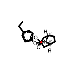 CCc1ccc(OC2C[C@H]3CC[C@@H](C2)N3C(=O)O)cc1